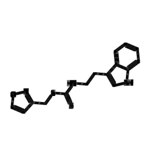 S=C(NCCc1c[nH]c2ccccc12)SCc1ccon1